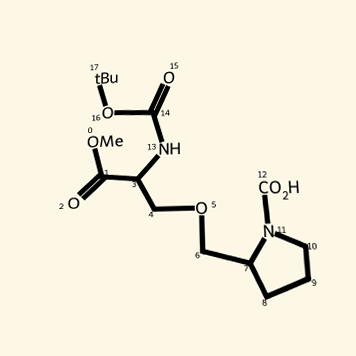 COC(=O)C(COCC1CCCN1C(=O)O)NC(=O)OC(C)(C)C